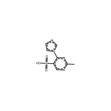 Cc1ncc(S(=O)(=O)O)c(-n2ccnc2)n1